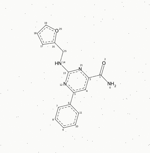 NC(=O)c1cc(-c2ccccc2)nc(NCc2ccco2)n1